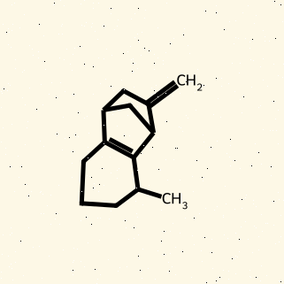 C=C1CC2CC1C1=C2CCCC1C